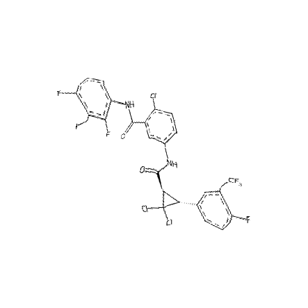 O=C(Nc1ccc(F)c(I)c1F)c1cc(NC(=O)[C@H]2[C@H](c3ccc(F)c(C(F)(F)F)c3)C2(Cl)Cl)ccc1Cl